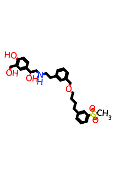 CS(=O)(=O)c1cccc(CCCCOCc2cccc(CCNC[C@H](O)c3ccc(O)c(CO)c3)c2)c1